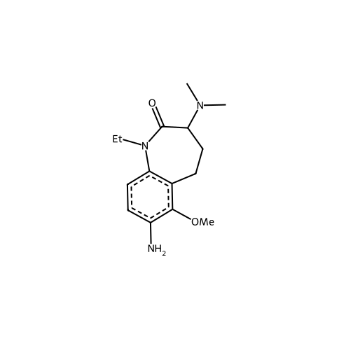 CCN1C(=O)C(N(C)C)CCc2c1ccc(N)c2OC